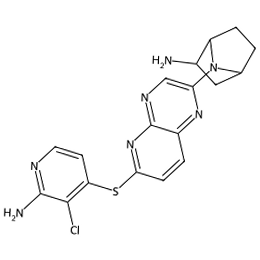 Nc1nccc(Sc2ccc3nc(N4C5CCC4C(N)C5)cnc3n2)c1Cl